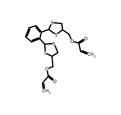 C=CC(=O)OCC1CSC(c2ccccc2C2SCC(COC(=O)C=C)S2)S1